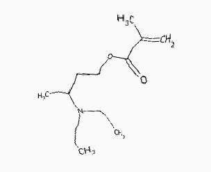 C=C(C)C(=O)OCCC(C)N(CC)CC